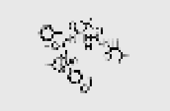 CC(C)CC(=O)NCC(=O)N[C@H](C(=O)N[C@@H](Cc1ccccc1)[C@H](O)CN(CC(C)C)S(=O)(=O)c1ccc2c(c1)CCO2)C(C)(C)C